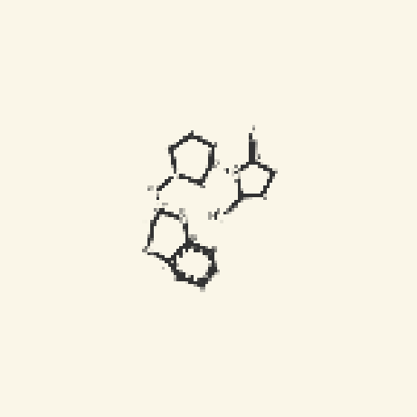 CC1CCC(=O)N1[C@H]1CCCN(C[C@H]2COc3ccccc3O2)C1